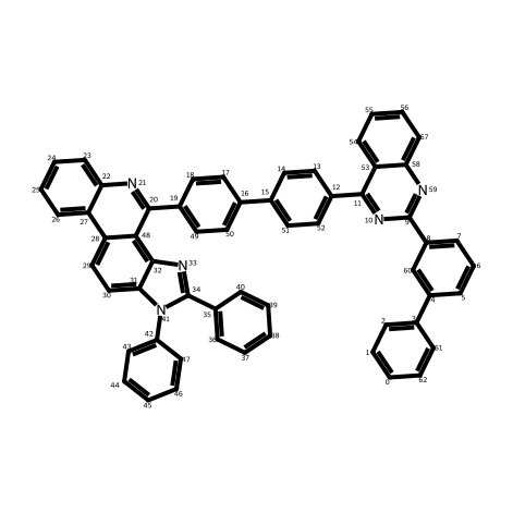 c1ccc(-c2cccc(-c3nc(-c4ccc(-c5ccc(-c6nc7ccccc7c7ccc8c(nc(-c9ccccc9)n8-c8ccccc8)c67)cc5)cc4)c4ccccc4n3)c2)cc1